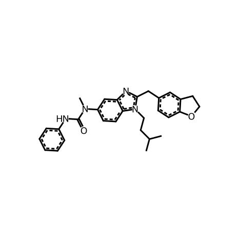 CC(C)CCn1c(Cc2ccc3c(c2)CCO3)nc2cc(N(C)C(=O)Nc3ccccc3)ccc21